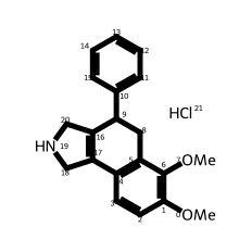 COc1ccc2c(c1OC)CC(c1ccccc1)C1=C2CNC1.Cl